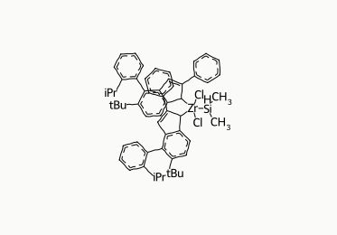 CC(C)c1ccccc1-c1c(C(C)(C)C)ccc2c1C=C(c1ccccc1)[CH]2[Zr]([Cl])([Cl])([CH]1C(c2ccccc2)=Cc2c1ccc(C(C)(C)C)c2-c1ccccc1C(C)C)[SiH](C)C